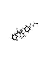 CCCCc1ccc([C@@H]2CC[C@@H](c3ccccc3)P2(=O)N(C)C)cc1